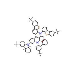 Cc1cc2c3c(c1)N(c1cccc4c1sc1ccc(C(C)(C)C)cc14)c1c(ccc4c1sc1ccc(C(C)(C)C)cc14)B3c1ccc(N3c4ccc(C(C)(C)C)cc4C4(C)CCCCC34C)cc1N2c1ccc(C(C)(C)C)cc1-c1ccccc1